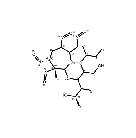 CCC(C)OC(CO)C(OC1OC(CN=O)C(N=O)C[C@@H](N=O)[C@@]1(C)N=O)C(C)[C@@H](C)O